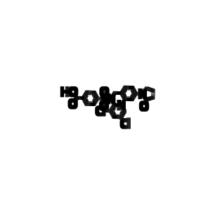 O=C(O)c1ccc(S(=O)(=O)N(Cc2ccc(N3CCCC3=O)cc2)c2ncc(Cl)cc2Cl)cc1